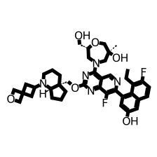 CCc1c(F)ccc2cc(O)cc(-c3ncc4c(N5C[C@H](CO)OC[C@@](C)(O)C5)nc(OC[C@]56CCC[C@H]5N(C5CC7(COC7)C5)CCC6)nc4c3F)c12